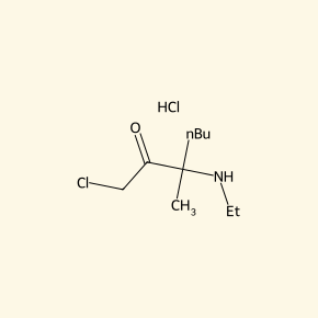 CCCCC(C)(NCC)C(=O)CCl.Cl